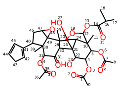 CC(=O)OC1C(OC(C)=O)C2(C)C(OC(=O)C(C)C)OCC3(C1O)C2CC(O)C1(C)C3C(=O)C(OC(C)=O)C2(C)C(C3=CCC=C3)CC3OC321